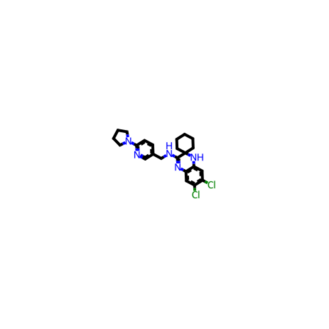 Clc1cc2c(cc1Cl)NC1(CCCCC1)C(NCc1ccc(N3CCCC3)nc1)=N2